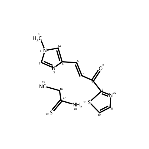 Cn1cnc(/C=C/C(=O)c2nccs2)c1.N#CCC(N)=S